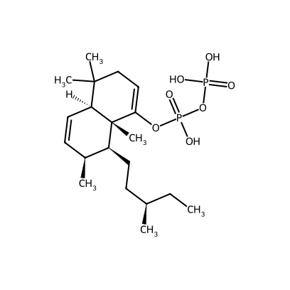 CC[C@@H](C)CC[C@H]1[C@@H](C)C=C[C@H]2C(C)(C)CC=C(OP(=O)(O)OP(=O)(O)O)[C@]12C